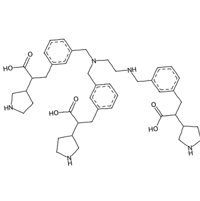 O=C(O)C(Cc1cccc(CNCCN(Cc2cccc(CC(C(=O)O)C3CCNC3)c2)Cc2cccc(CC(C(=O)O)C3CCNC3)c2)c1)C1CCNC1